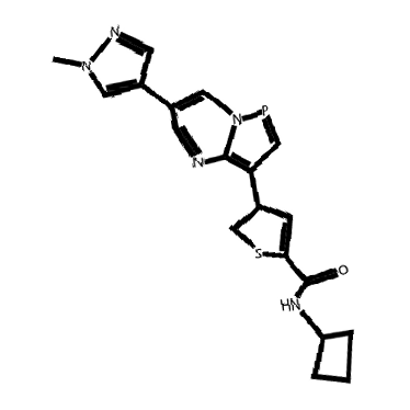 Cn1cc(-c2cnc3c(C4C=C(C(=O)NC5CCC5)SC4)cpn3c2)cn1